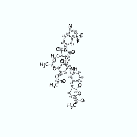 CC(=O)Oc1cc(CN2C(=O)N(c3ccc(C#N)c(C(F)(F)F)c3)C(=O)C2(C)C)c(Nc2ccc(OC3CCC=C(C(C)=O)O3)cc2)cc1OC(C)=O